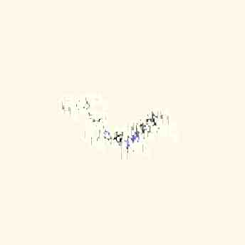 CCC(C)(C)N(N=N)c1n[nH]c(N/C(N)=N/N=C(\N)Nc2nc(N(N)/C=C(\N)COC(=O)C(=O)OCC3=CC(C)(C)C3(C)C)n[nH]2)n1